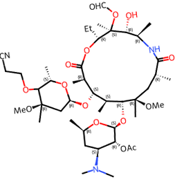 CC[C@H]1OC(=O)[C@H](C)[C@@H](O[C@H]2C[C@@](C)(OC)C(OCCC#N)[C@H](C)O2)[C@H](C)[C@@H](O[C@@H]2O[C@H](C)C[C@H](N(C)C)[C@H]2OC(C)=O)[C@](C)(OC)C[C@@H](C)C(=O)N[C@H](C)[C@@H](O)[C@]1(C)OC=O